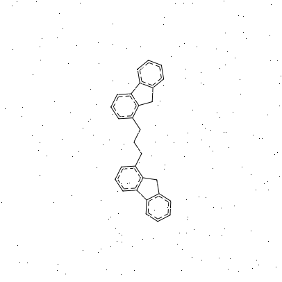 c1ccc2c(c1)Cc1c(CCCc3cccc4c3Cc3ccccc3-4)cccc1-2